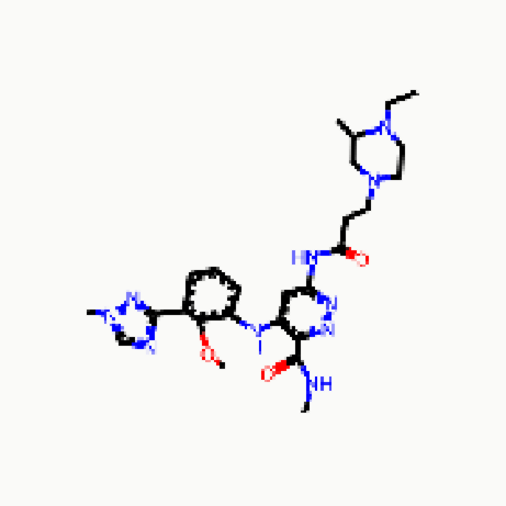 CCN1CCN(CCC(=O)Nc2cc(Nc3cccc(-c4ncn(C)n4)c3OC)c(C(=O)NC)nn2)CC1C